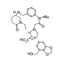 CCCCN(C(=O)CN1C[C@H](c2cc(CO)c3c(c2)OCO3)[C@@H](C(=O)O)[C@@H]1CCN1CCCCC1=O)c1cccc(CN)c1